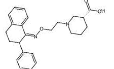 O=C(O)[C@@H]1CCCN(CCO/N=C2\c3ccccc3CCC2c2ccccc2)C1